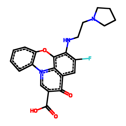 O=C(O)c1cn2c3c(c(NCCN4CCCC4)c(F)cc3c1=O)Oc1ccccc1-2